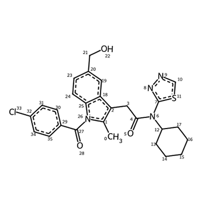 Cc1c(CC(=O)N(c2nncs2)C2CCCCC2)c2cc(CO)ccc2n1C(=O)c1ccc(Cl)cc1